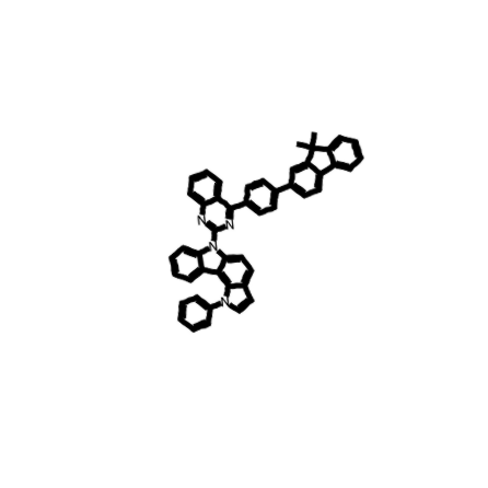 CC1(C)c2ccccc2-c2ccc(-c3ccc(-c4nc(-n5c6ccccc6c6c7c(ccc65)ccn7-c5ccccc5)nc5ccccc45)cc3)cc21